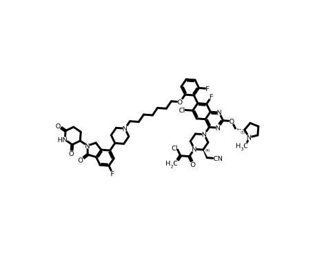 C=C(Cl)C(=O)N1CCN(c2nc(OC[C@@H]3CCCN3C)nc3c(F)c(-c4c(F)cccc4OCCCCCCCN4CCC(c5cc(F)cc6c5CN(C5CCC(=O)NC5=O)C6=O)CC4)c(Cl)cc23)C[C@H]1CC#N